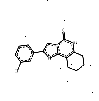 O=c1[nH]c2c(c3nc(-c4cccc(Cl)c4)cn13)CCCC2